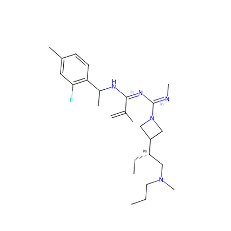 C=C(C)/C(=N\C(=N/C)N1CC([C@@H](CC)CN(C)CCC)C1)NC(C)c1ccc(C)cc1F